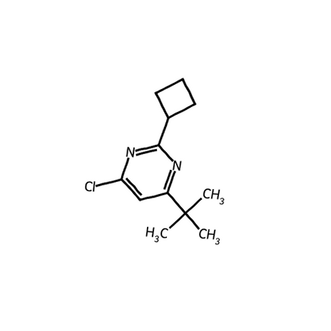 CC(C)(C)c1cc(Cl)nc(C2CCC2)n1